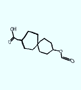 O=COC1CCC2(CC1)CCC(C(=O)O)CC2